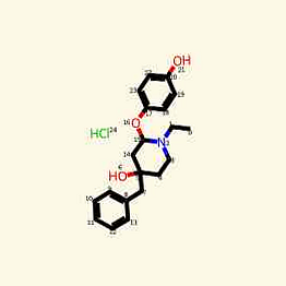 CCN1CCC(O)(Cc2ccccc2)CC1Oc1ccc(O)cc1.Cl